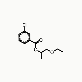 CCOCC(C)OC(=O)c1cccc(Cl)c1